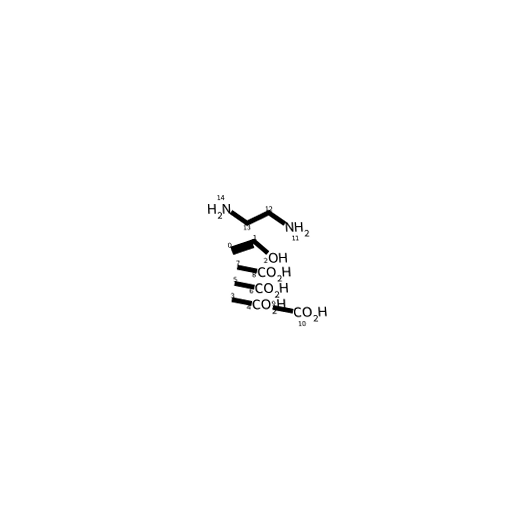 C=CO.CC(=O)O.CC(=O)O.CC(=O)O.CC(=O)O.NCCN